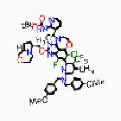 COc1ccc(CN(Cc2ccc(OC)cc2)c2cc(C)c(C(F)(F)F)c(-c3c(Cl)c4c5c(nc(OC[C@@H]6CC[C@H]7COCCCN76)nc5c3F)N([C@H](C)c3cccnc3NC(=O)OC(C)(C)C)CCO4)n2)cc1